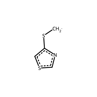 [CH2]Sc1cscn1